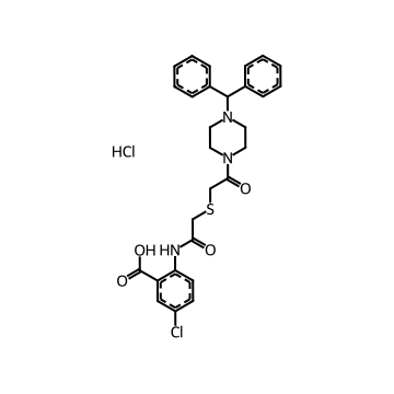 Cl.O=C(CSCC(=O)N1CCN(C(c2ccccc2)c2ccccc2)CC1)Nc1ccc(Cl)cc1C(=O)O